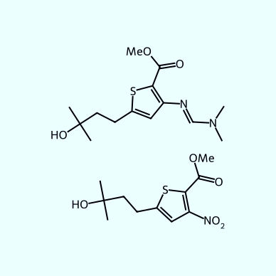 COC(=O)c1sc(CCC(C)(C)O)cc1/N=C/N(C)C.COC(=O)c1sc(CCC(C)(C)O)cc1[N+](=O)[O-]